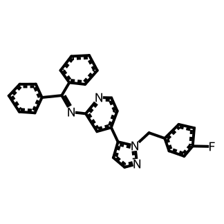 Fc1ccc(Cn2nccc2-c2ccnc(N=C(c3ccccc3)c3ccccc3)c2)cc1